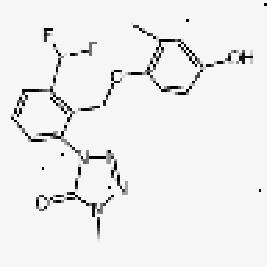 Cc1cc(O)ccc1OCc1c(C(F)F)cccc1-n1nnn(C)c1=O